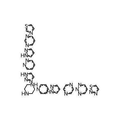 C1CNCCN1.c1c[nH]nn1.c1ccncc1.c1ccnnc1.c1cn[nH]c1.c1cn[nH]c1.c1cnccn1.c1cncnc1.c1cnnnc1.c1cscn1.c1csnn1